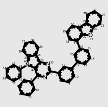 c1ccc(-c2nc(-c3cccc(-c4cccc(-c5cccc6c5oc5ccccc56)c4)c3)nc3c4ccccc4n(-c4ccccc4)c23)cc1